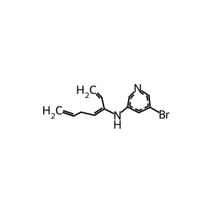 C=CC/C=C(\C=C)Nc1cncc(Br)c1